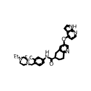 CCN1CCN(Cc2ccc(NC(=O)C3CCc4ncc(Oc5ccnc6[nH]ccc56)cc4C3)cc2C(F)(F)F)CC1